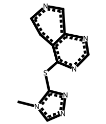 Cn1cnnc1Sc1ncnc2cnccc12